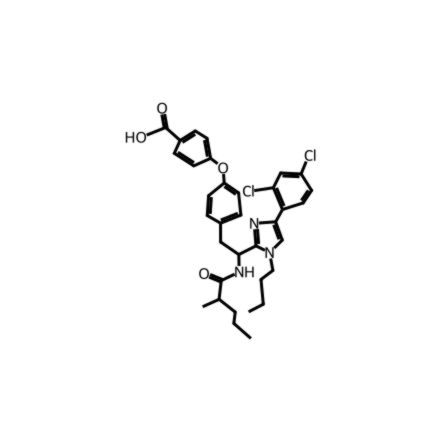 CCCCn1cc(-c2ccc(Cl)cc2Cl)nc1C(Cc1ccc(Oc2ccc(C(=O)O)cc2)cc1)NC(=O)C(C)CCC